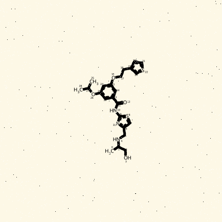 CC(CO)NCc1csc(NC(=O)c2cc(OCCc3ccsc3)cc(OC(C)C)c2)n1